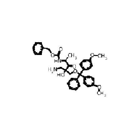 COc1ccc(C(OCC(O)(CN)C(=O)[C@H](C)NC(=O)OCc2ccccc2)(c2ccccc2)c2ccc(OC)cc2)cc1